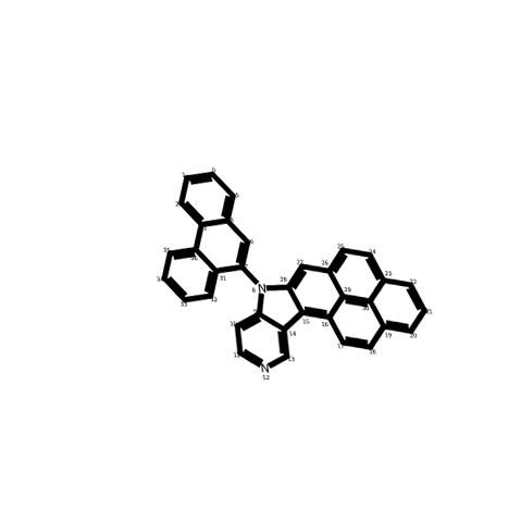 c1ccc2c(c1)cc(-n1c3ccncc3c3c4ccc5cccc6ccc(cc31)c4c65)c1ccccc12